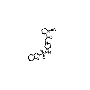 N#C[C@@H]1CCCN1C(=O)CN1CC[C@H](NS(=O)(=O)c2cc3ccccc3s2)C1